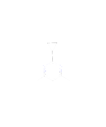 Cc1cc(C)nc([C]2CC2)n1